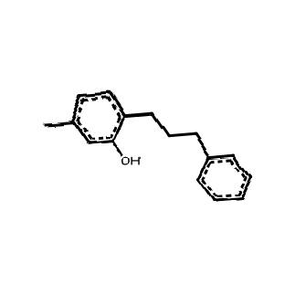 Cc1ccc(CCCc2ccccc2)c(O)c1